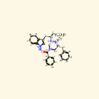 CCN(N[C@H](CC(=O)O)Cc1c[nH]c2ccccc12)[C@H](Cc1ccccc1)CN(C)C(=O)c1ccccc1